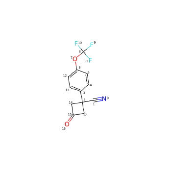 N#CC1(c2ccc(OC(F)(F)F)cc2)CC(=O)C1